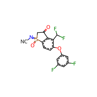 N#CN=S1(=O)CC(=O)c2c1ccc(Oc1cc(F)cc(F)c1)c2C(F)F